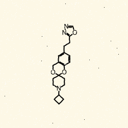 c1nnc(CCc2ccc3c(c2)COC2(CCN(C4CCC4)CC2)O3)o1